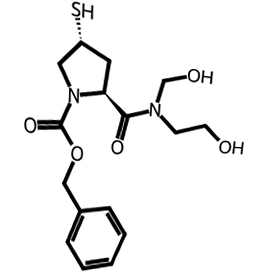 O=C([C@@H]1C[C@@H](S)CN1C(=O)OCc1ccccc1)N(CO)CCO